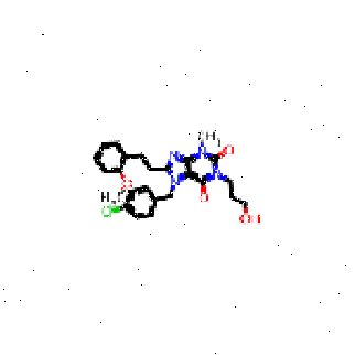 COc1ccccc1CCc1nc2c(c(=O)n(CCCO)c(=O)n2C)n1Cc1ccc(Cl)cc1